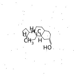 C[C@@]12CCC[C@H]1[C@@H]1CCC3CCC(=CO)C[C@]3(C)[C@H]1CC2